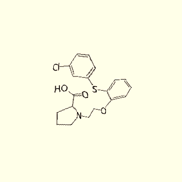 O=C(O)C1CCCN1CCOc1ccccc1Sc1cccc(Cl)c1